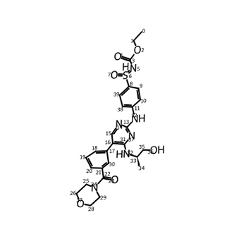 CCOC(=O)/N=[SH](=O)/c1ccc(Nc2ncc(-c3cccc(C(=O)N4CCOCC4)c3)c(N[C@H](C)CO)n2)cc1